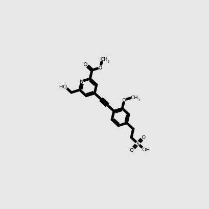 COC(=O)c1cc(C#Cc2ccc(CCS(=O)(=O)O)cc2OC)cc(CO)n1